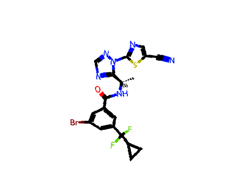 C[C@H](NC(=O)c1cc(Br)cc(C(F)(F)C2CC2)c1)c1ncnn1-c1ncc(C#N)s1